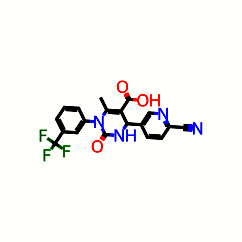 CC1=C(C(=O)O)C(c2ccc(C#N)nc2)NC(=O)N1c1cccc(C(F)(F)F)c1